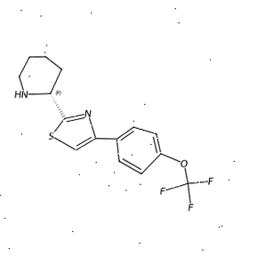 FC(F)(F)Oc1ccc(-c2csc([C@H]3CCCCN3)n2)cc1